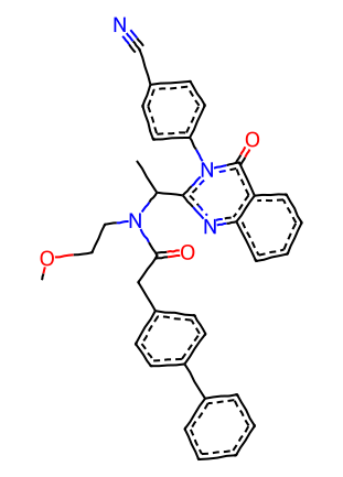 COCCN(C(=O)Cc1ccc(-c2ccccc2)cc1)C(C)c1nc2ccccc2c(=O)n1-c1ccc(C#N)cc1